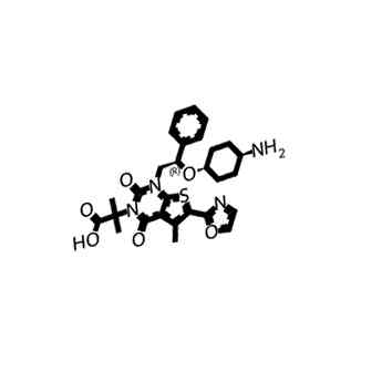 Cc1c(-c2ncco2)sc2c1c(=O)n(C(C)(C)C(=O)O)c(=O)n2C[C@H](O[C@H]1CC[C@H](N)CC1)c1ccccc1